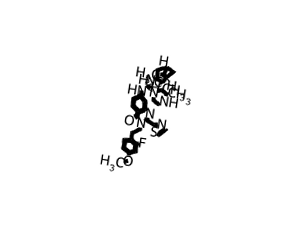 COc1ccc(CCn2c(-c3nccs3)nc3cc(N/C(=N/C4C[C@H]5C[C@@H]([C@@H]4C)C5(C)C)N4CCN[C@@H](C)C4)ccc3c2=O)c(F)c1